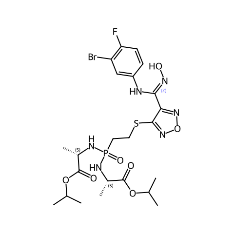 CC(C)OC(=O)[C@H](C)NP(=O)(CCSc1nonc1/C(=N/O)Nc1ccc(F)c(Br)c1)N[C@@H](C)C(=O)OC(C)C